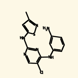 Cc1cc(Nc2ncc(Cl)c(Nc3cccc(N)c3)n2)sn1